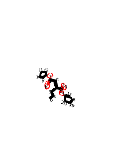 C=CC/C(=C\C(=O)OC1=CCCC1)C(=O)OC1=CCCC1